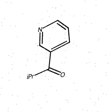 CC(C)C(=O)c1[c]nccc1